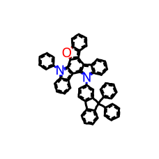 c1ccc(-n2c3ccccc3c3c2c2oc4ccccc4c2c2c4ccccc4n(-c4ccc5c(c4)C(c4ccccc4)(c4ccccc4)c4ccccc4-5)c23)cc1